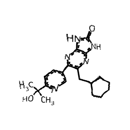 CC(C)(O)c1ccc(-c2nc3[nH]c(=O)[nH]c3nc2CC2CCCCC2)cn1